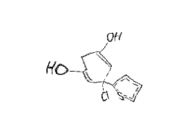 OC1=CC(Cl)(c2cccs2)C=C(O)C1